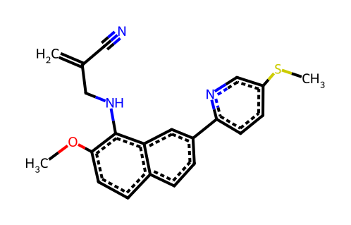 C=C(C#N)CNc1c(OC)ccc2ccc(-c3ccc(SC)cn3)cc12